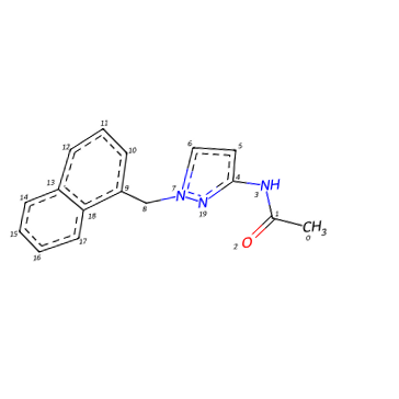 CC(=O)Nc1ccn(Cc2cccc3ccccc23)n1